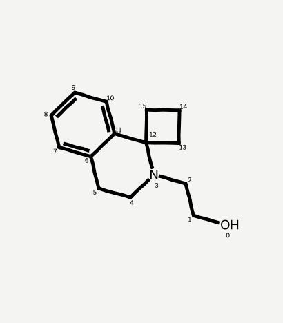 OCCN1CCc2c[c]ccc2C12CCC2